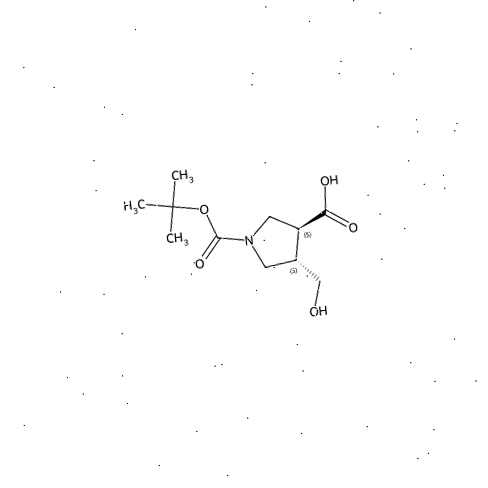 CC(C)(C)OC(=O)N1C[C@@H](CO)[C@H](C(=O)O)C1